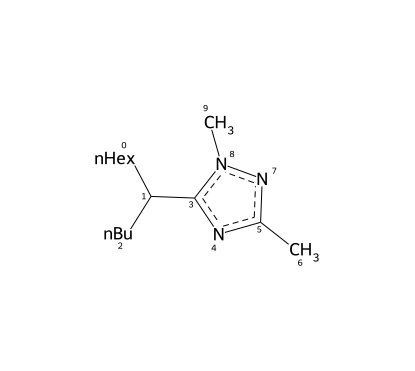 CCCCCCC(CCCC)c1nc(C)nn1C